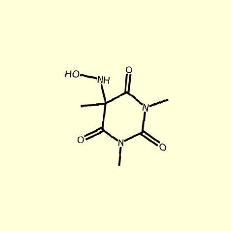 CN1C(=O)N(C)C(=O)C(C)(NO)C1=O